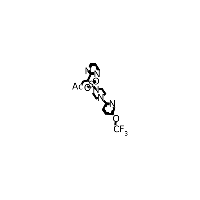 CC(=O)CC(c1ncccn1)S(=O)(=O)N1CCN(c2ccc(OCC(F)(F)F)cn2)CC1